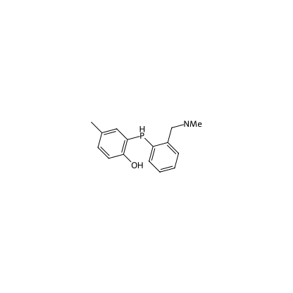 CNCc1ccccc1Pc1cc(C)ccc1O